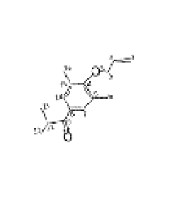 C=CCOc1c(C)cc(C(=O)C(C)C)cc1C